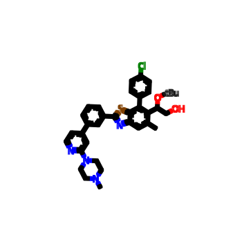 Cc1cc2nc(-c3cccc(-c4ccnc(N5CCN(C)CC5)c4)c3)sc2c(-c2ccc(Cl)cc2)c1C(CO)OC(C)(C)C